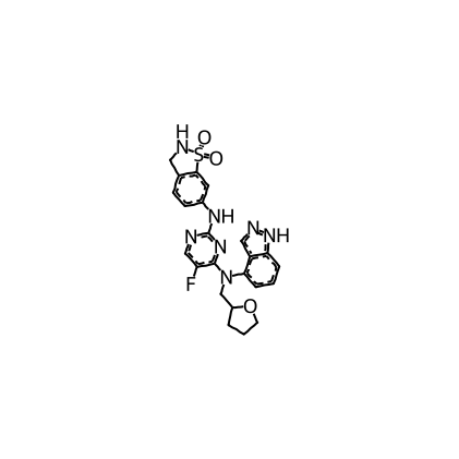 O=S1(=O)NCc2ccc(Nc3ncc(F)c(N(CC4CCCO4)c4cccc5[nH]ncc45)n3)cc21